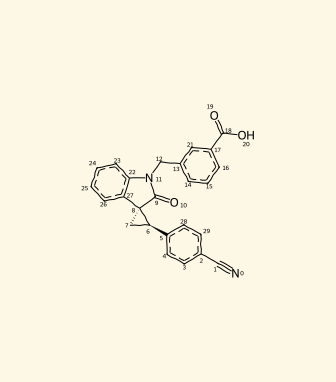 N#Cc1ccc([C@H]2C[C@]23C(=O)N(Cc2cccc(C(=O)O)c2)c2ccccc23)cc1